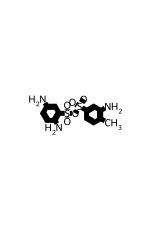 Cc1ccc(S(=O)(=O)OS(=O)(=O)c2cc(N)ccc2N)cc1N